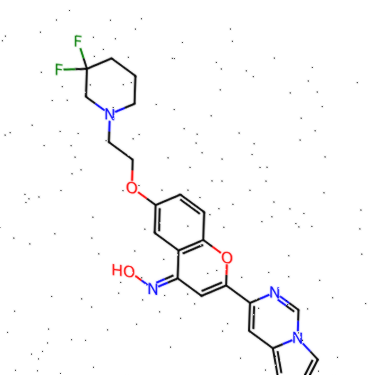 O/N=c1/cc(-c2cc3cccn3cn2)oc2ccc(OCCN3CCCC(F)(F)C3)cc12